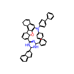 C1=CC2c3c4c(cc(N(c5ccccc5)c5ccc(-c6ccccc6)cc5)c3OC2C(C2=NC(c3ccccc3)NC(c3ccc5ccccc5c3)N2)=C1)C=CCC4